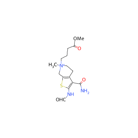 COC(=O)CCC[N+]1(C)CCc2c(sc(NC=O)c2C(N)=O)C1